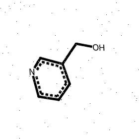 OCc1c[c]cnc1